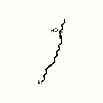 CCCC[C@@H](O)C#CCCCCCCCC#CCCCCBr